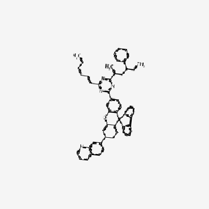 C=C/C=C\C=C\c1nc(C(=C)CC(C=C)c2ccccc2)nc(-c2ccc3c(c2)OC2=CC(c4ccc5cccnc5c4)CC=C2C32c3ccccc3-c3ccccc32)n1